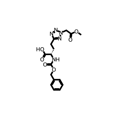 COC(=O)Cn1nnc(CC[C@H](NC(=O)OCc2ccccc2)C(=O)O)n1